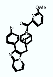 COc1cccc(C(=O)N2CC3CCC2CN3Cc2c(-c3ccc(Br)cc3)nc3ccccn23)n1